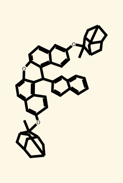 CC1(Oc2ccc3c4c(ccc3c2)Oc2ccc3cc(OC5(C)C6CC7CC(C6)CC5C7)ccc3c2C4c2ccc3ccccc3c2)C2CC3CC(C2)CC1C3